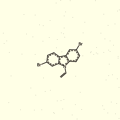 C=Cn1c2ccc(Br)cc2c2ccc(Br)cc21